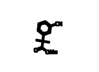 COC(=O)C(C)(C)c1cccc(C#N)c1